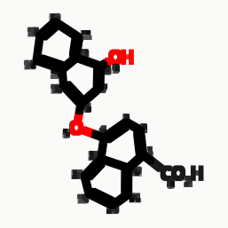 O=C(O)c1ccc(Oc2cc(O)c3ccccc3c2)c2ccccc12